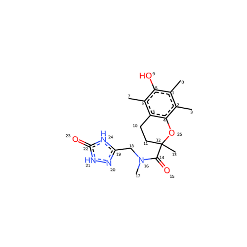 Cc1c(C)c2c(c(C)c1O)CCC(C)(C(=O)N(C)Cc1n[nH]c(=O)[nH]1)O2